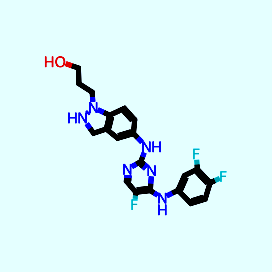 OCCCN1NCc2cc(Nc3ncc(F)c(Nc4ccc(F)c(F)c4)n3)ccc21